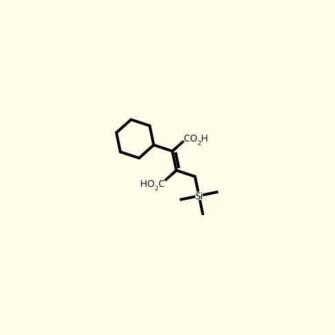 C[Si](C)(C)C/C(C(=O)O)=C(\C(=O)O)C1CCCCC1